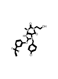 C=CC(F)(F)c1cccc(OC2Nc3c(c(=O)n(CCO)c(=O)n3C)N2Cc2ccc(Cl)cc2)c1